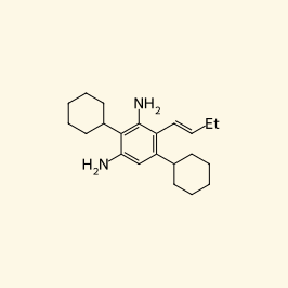 CCC=Cc1c(C2CCCCC2)cc(N)c(C2CCCCC2)c1N